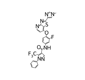 Cn1cnc(-c2nc3nccc(Oc4ccc(NC(=O)c5cnn(-c6ccccc6)c5C(F)(F)F)cc4F)c3s2)c1